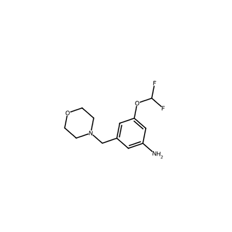 Nc1cc(CN2CCOCC2)cc(OC(F)F)c1